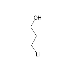 [Li][CH2]CCO